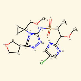 COCC1(n2c(NS(=O)(=O)C(C)C(OC)c3ncc(Cl)cn3)nnc2[C@H]2CCOC2)CC1